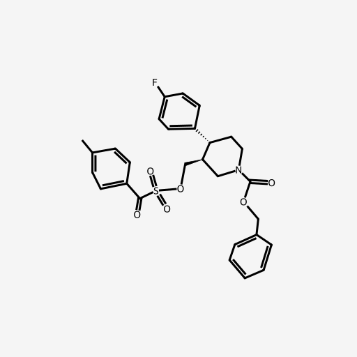 Cc1ccc(C(=O)S(=O)(=O)OC[C@@H]2CN(C(=O)OCc3ccccc3)CC[C@H]2c2ccc(F)cc2)cc1